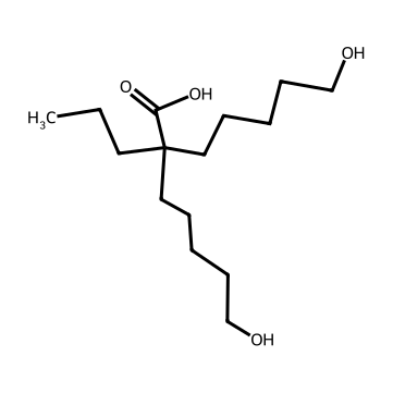 CCCC(CCCCCO)(CCCCCO)C(=O)O